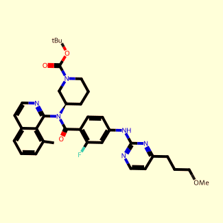 COCCCc1ccnc(Nc2ccc(C(=O)N(c3nccc4cccc(C)c34)[C@@H]3CCCN(C(=O)OC(C)(C)C)C3)c(F)c2)n1